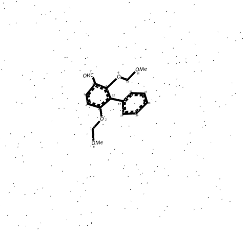 COCOc1ccc(C=O)c(OCOC)c1-c1ccccc1